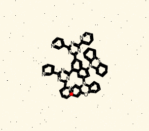 c1ccc(-c2nc(-c3cccnc3)nc(-c3cc(-c4nc(-c5cccnc5)nc(-c5ccccn5)n4)c4cc(N5c6ccccc6Oc6ccccc65)cc(N5c6ccccc6Sc6ccccc65)c4c3)n2)nc1